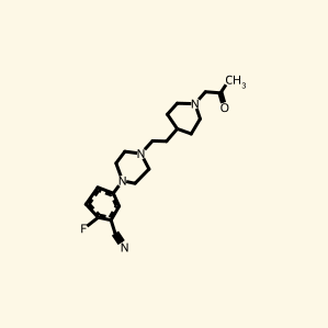 CC(=O)CN1CCC(CCN2CCN(c3ccc(F)c(C#N)c3)CC2)CC1